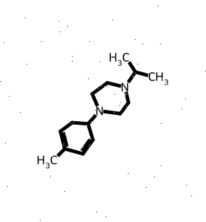 CC1=CCC(N2CCN(C(C)C)CC2)C=C1